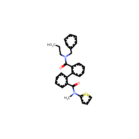 CN(C(=O)c1ccccc1-c1ccccc1C(=O)N(CCC(=O)O)Cc1ccccc1)c1cccs1